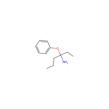 CCCC(N)(CC)Oc1ccccc1